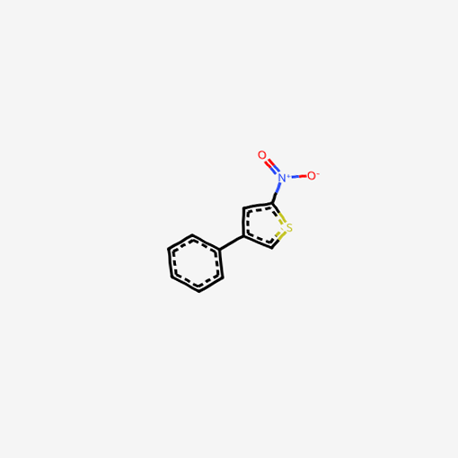 O=[N+]([O-])c1cc(-c2ccccc2)cs1